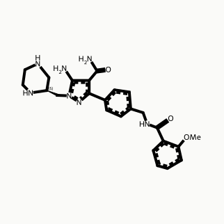 COc1ccccc1C(=O)NCc1ccc(-c2nn(C[C@@H]3CNCCN3)c(N)c2C(N)=O)cc1